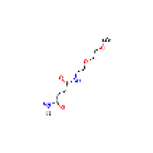 CCCOCCOCCNC(=O)CCC(=O)NCC